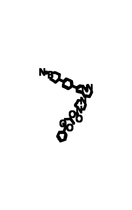 N#CB1CCC(c2ccc(-c3cc4c(N5CCN(C(=O)OC6COC(c7ccccc7)OC6)CC5)ccnn4c3)cc2)CC1